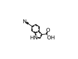 N#Cc1ccc2c(C(=O)O)c[nH]c2c1